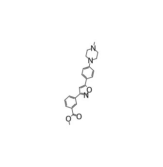 COC(=O)c1cccc(-c2cc(-c3ccc(N4CCN(C)CC4)cc3)on2)c1